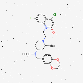 CC(C)(C)C1CC(N(Cc2ccc3c(c2)OCCO3)C(=O)O)CCN1CCn1c(=O)cc(Cl)c2ccc(F)cc21